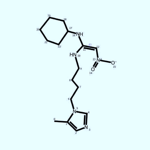 Cc1cncn1CCCCN/C(=C\[N+](=O)[O-])NC1CCCCC1